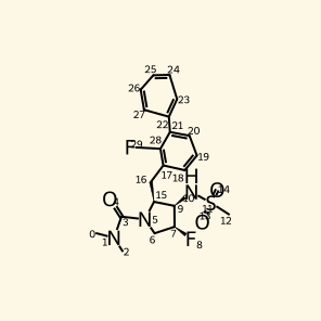 CN(C)C(=O)N1C[C@H](F)[C@H](NS(C)(=O)=O)[C@@H]1Cc1cccc(-c2ccccc2)c1F